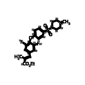 CCOC(=O)/C(C)=C/c1cc(F)c(Oc2ccc(S(=O)(=O)N3CCN(C)CC3)cc2)c(F)c1